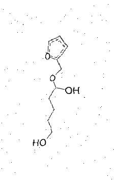 OCCCCC(O)OCc1ccco1